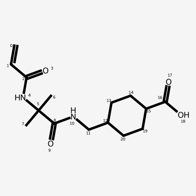 C=CC(=O)NC(C)(C)C(=O)NCC1CCC(C(=O)O)CC1